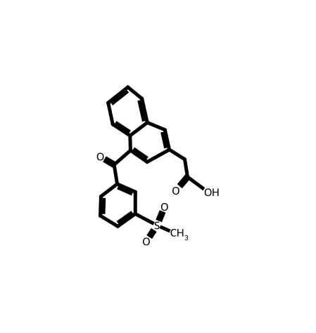 CS(=O)(=O)c1cccc(C(=O)c2cc(CC(=O)O)cc3ccccc23)c1